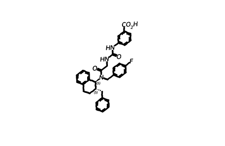 O=C(NCC(=O)N(Cc1ccc(F)cc1)[C@@H]1c2ccccc2CC[C@H]1Cc1ccccc1)Nc1cccc(C(=O)O)c1